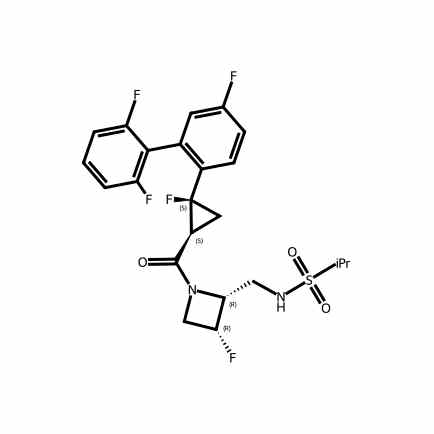 CC(C)S(=O)(=O)NC[C@@H]1[C@H](F)CN1C(=O)[C@@H]1C[C@@]1(F)c1ccc(F)cc1-c1c(F)cccc1F